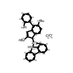 CCCCC1=Cc2c(ccc(C(C)(C)C)c2-c2ccccc2C(C)C)[CH]1[Zr+2]1[c]2cccc3c2[SiH]1c1ccccc1-3.[Cl-].[Cl-]